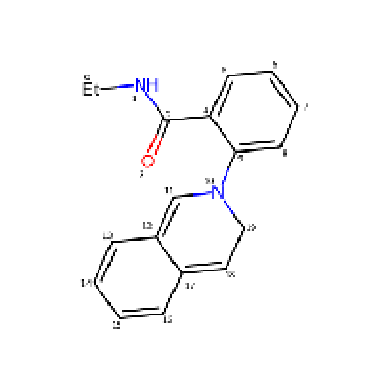 CCNC(=O)c1ccccc1N1C=c2ccccc2=CC1